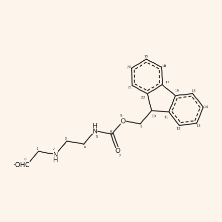 O=[C]CNCCNC(=O)OCC1c2ccccc2-c2ccccc21